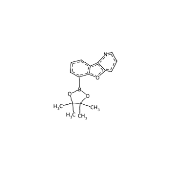 CC1(C)OB(c2cccc3c2oc2cccnc23)OC1(C)C